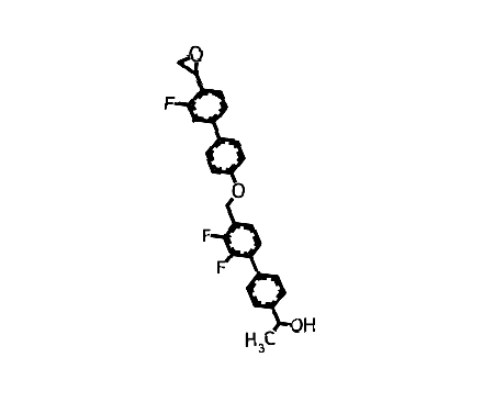 CC(O)c1ccc(-c2ccc(COc3ccc(-c4ccc(C5CO5)c(F)c4)cc3)c(F)c2F)cc1